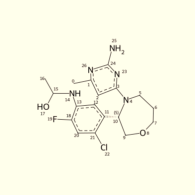 Cc1cc(N2CCCOC[C@@H]2c2cc(NC(C)O)c(F)cc2Cl)nc(N)n1